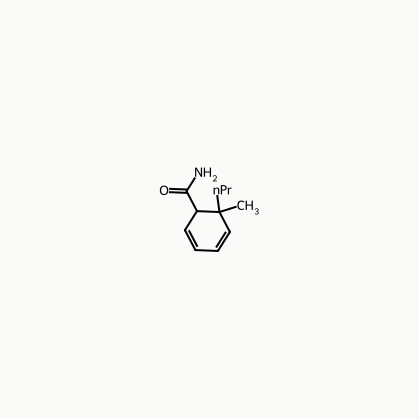 CCCC1(C)C=CC=CC1C(N)=O